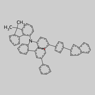 CC1(C)c2ccccc2-c2c(N(c3ccc(-c4ccc(-c5ccc6ccccc6c5)cc4)cc3)c3ccccc3-c3cccc(-c4ccccc4)c3)cccc21